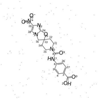 O=C(O)c1ccc(NC(=O)N2CCC3(CC2)Cn2cc([N+](=O)[O-])nc2O3)cc1